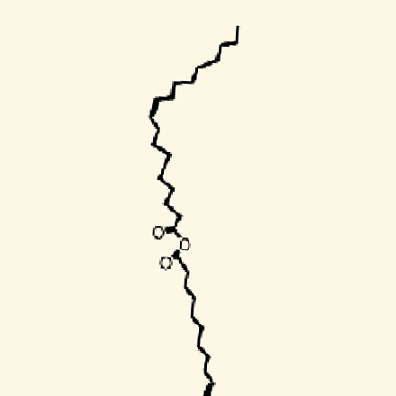 C=CCCCCCCCCC(=O)OC(=O)CCCCCCC/C=C\CCCCCCCC